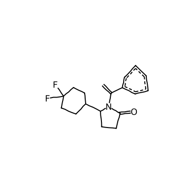 C=C(c1ccccc1)N1C(=O)CCC1C1CCC(F)(F)CC1